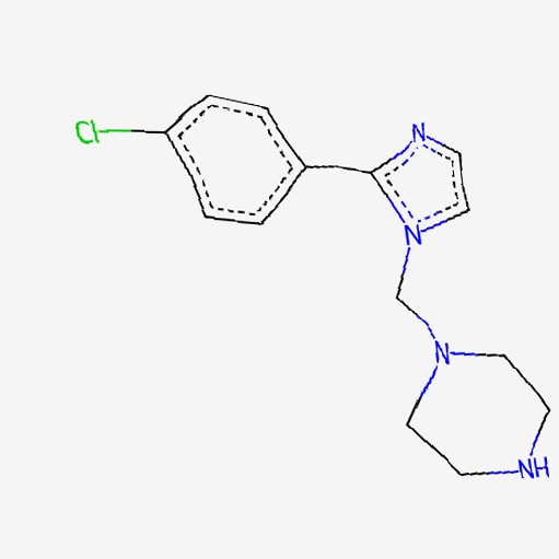 Clc1ccc(-c2nccn2CN2CCNCC2)cc1